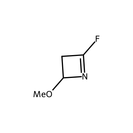 COC1CC(F)=N1